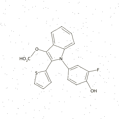 O=C(O)Oc1c(-c2cccs2)n(-c2ccc(O)c(F)c2)c2ccccc12